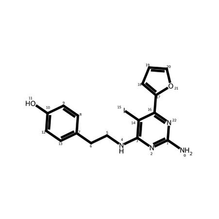 Nc1nc(NCCc2ccc(O)cc2)c(I)c(-c2ccco2)n1